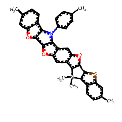 Cc1ccc(-n2c3c4ccc(C)cc4oc3c3oc4cc5c6c(oc5cc4c32)-c2sc3cc(C)ccc3c2[Si]6(C)C)cc1